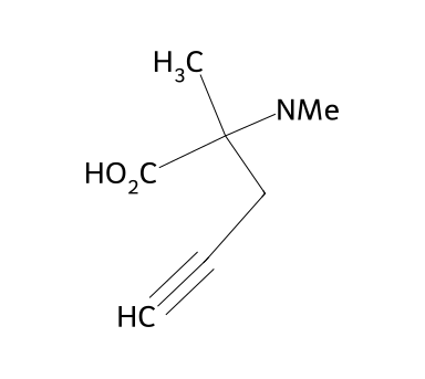 C#CCC(C)(NC)C(=O)O